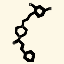 O=C(/C=C/c1ccccc1)N1CCN(CCCc2ccc(Cl)cc2Cl)CC1